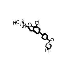 CN(C(=O)O)c1cc2cc(-c3ccc(C(=O)N4CCC(F)(F)CC4)cc3)cc(Cl)c2o1